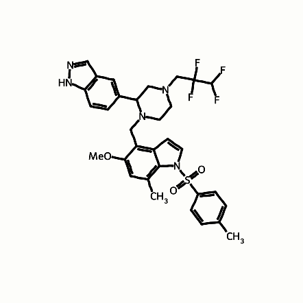 COc1cc(C)c2c(ccn2S(=O)(=O)c2ccc(C)cc2)c1CN1CCN(CC(F)(F)C(F)F)CC1c1ccc2[nH]ncc2c1